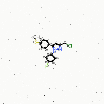 CSc1ccc(-c2cc(CCl)nn2-c2ccc(F)cc2)cc1